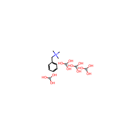 C[N+](C)(C)Cc1ccccc1.OB(O)O.OB(O)O.OB(O)O.OB(O)O